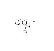 CSCCN1C[C@]2(CC[C@](c3ccccc3)(N(C)C)CC2)N(CC2(O)CCC2)C1=O